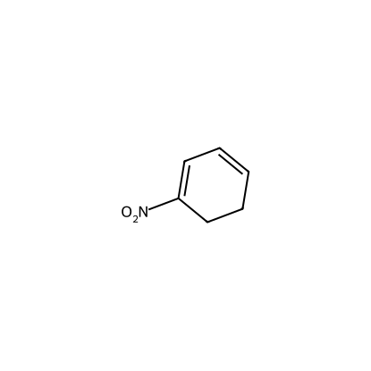 O=[N+]([O-])C1=CC=CCC1